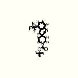 CC(C)(C)OC(=O)N1CCC(C#N)(Cc2ccccc2C(F)(F)F)CC1